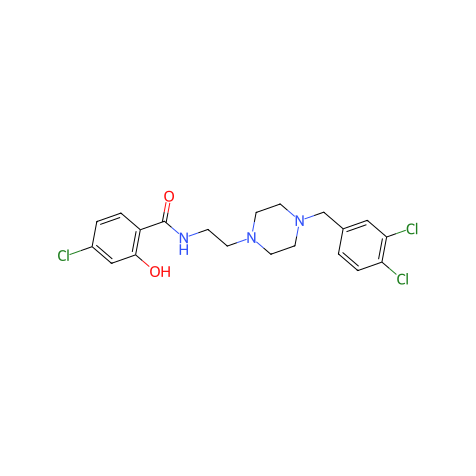 O=C(NCCN1CCN(Cc2ccc(Cl)c(Cl)c2)CC1)c1ccc(Cl)cc1O